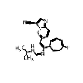 CC(C)N/C=N\C(=C\c1ccc2ncc(C#N)n2n1)C1C=CC=C(F)C=C1